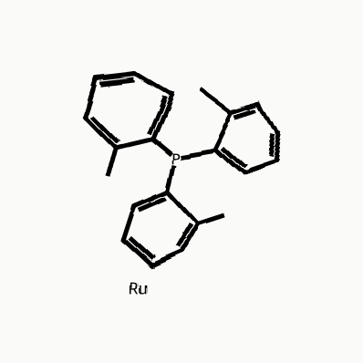 Cc1ccccc1P(c1ccccc1C)c1ccccc1C.[Ru]